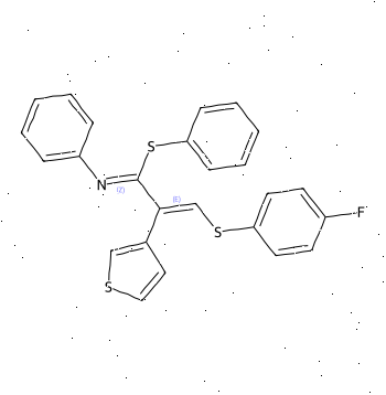 Fc1ccc(S/C=C(/C(=N/c2ccccc2)Sc2ccccc2)c2ccsc2)cc1